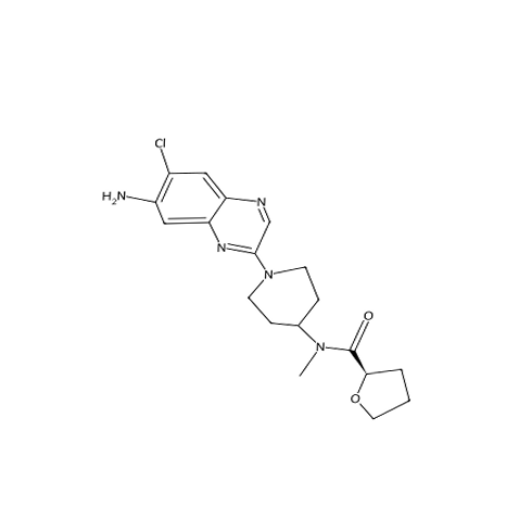 CN(C(=O)[C@H]1CCCO1)C1CCN(c2cnc3cc(Cl)c(N)cc3n2)CC1